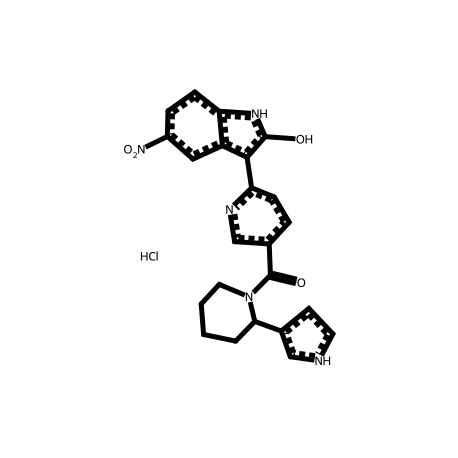 Cl.O=C(c1ccc(-c2c(O)[nH]c3ccc([N+](=O)[O-])cc23)nc1)N1CCCCC1c1cc[nH]c1